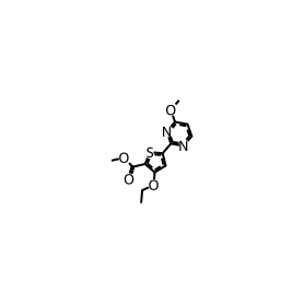 CCOc1cc(-c2nccc(OC)n2)sc1C(=O)OC